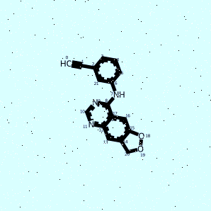 C#Cc1cccc(Nc2ncnc3cc4c(cc23)OOC4)c1